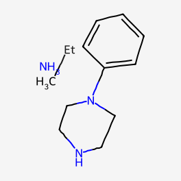 CCC.N.c1ccc(N2CCNCC2)cc1